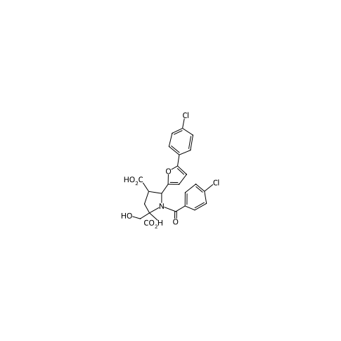 O=C(O)C1CC(CO)(C(=O)O)N(C(=O)c2ccc(Cl)cc2)C1c1ccc(-c2ccc(Cl)cc2)o1